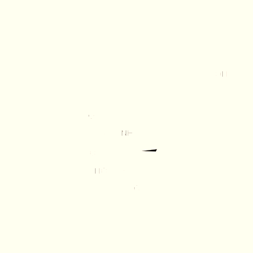 O=C(N[C@@H](Cc1ccc(CO)cc1)C(=O)O)OCc1ccccc1